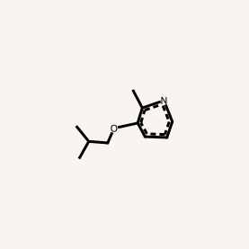 Cc1ncccc1OCC(C)C